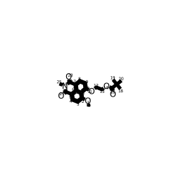 COc1ccc2c3c(ccc(OCCOC(=O)C(C)(C)C)c13)C(=O)N(C)C2=O